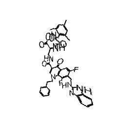 Cc1cc(C)c(S(=O)(=O)NC(CNC(=O)c2cn(CCc3ccccc3)c3c(F)c(CNc4nc5ccccc5[nH]4)c(F)cc3c2=O)C(=O)O)c(C)c1